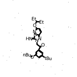 CCCCOc1cc(C(=O)Cn2nc3ccc(OC(CC)CC)nn3c2=N)cc(C(C)(C)C)c1